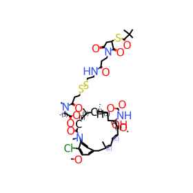 COc1cc2cc(c1Cl)N(C)C(=O)C[C@H](OC(=O)[C@H](C)N(C)C(=O)CCSSCCNC(=O)CCN1C(=O)CC(SC(=O)C(C)(C)C)C1=O)[C@@H](C)C[C@H](C)[C@@H]1C[C@@](O)(NC(=O)O1)[C@H](OC)/C=C/C=C(\C)C2